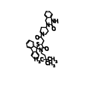 CC(C)(C)CCN1C(=O)C(CC(=O)N2CCC(N3Cc4ccccc4NC3=O)CC2)SC12c1ccccc1-c1ccccc12